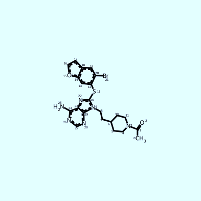 CC(=O)N1CCC(CCn2c(Sc3cc4occc4cc3Br)nc3c(N)ncnc32)CC1